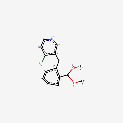 CCOC(OCC)c1ccccc1Cc1cnccc1Cl